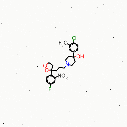 O=[N+]([O-])c1cc(F)ccc1C1(CCCN2CCC(O)(c3ccc(Cl)c(C(F)(F)F)c3)CC2)CCOO1